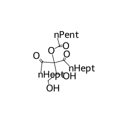 CCCCCCCC(=O)C(OC(=O)CCCCC)(C(=O)CCCCCCC)C(O)CO